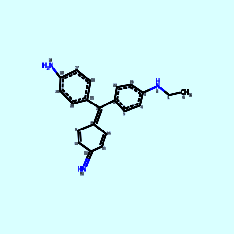 CCNc1ccc(C(=C2C=CC(=N)C=C2)c2ccc(N)cc2)cc1